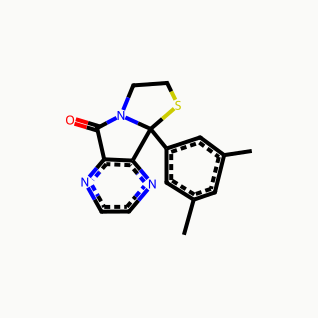 Cc1cc(C)cc(C23SCCN2C(=O)c2nccnc23)c1